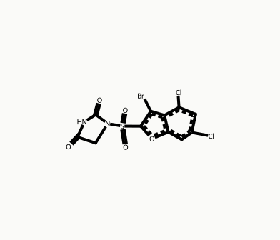 O=C1CN(S(=O)(=O)c2oc3cc(Cl)cc(Cl)c3c2Br)C(=O)N1